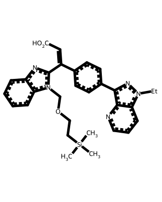 CCn1nc(-c2ccc(C(=CC(=O)O)c3nc4ccccc4n3COCC[Si](C)(C)C)cc2)c2ncccc21